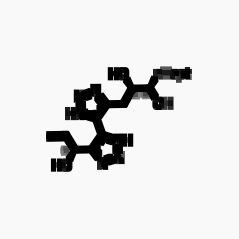 C=C[C@H](O)c1nn[nH]c1-c1[nH]nnc1C[C@@H](O)[C@H](O)CCCCCCC